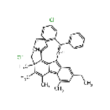 CCc1cc(C)c2c(c1)=[C]([Zr+2]=[C](c1ccccc1)c1ccccc1)C1=C(C3=CC=CC3)C(C)(CC)C(C)=C(C)C=21.[Cl-].[Cl-]